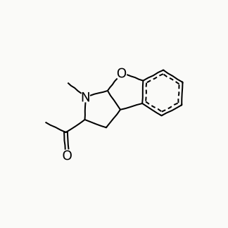 CC(=O)C1CC2c3ccccc3OC2N1C